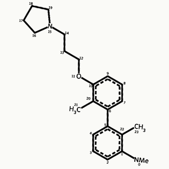 CNc1cccc(-c2cccc(OCCCN3CCCC3)c2C)c1C